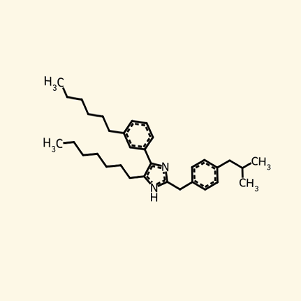 CCCCCCCc1[nH]c(Cc2ccc(CC(C)C)cc2)nc1-c1cccc(CCCCCC)c1